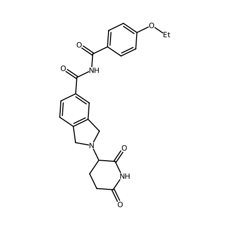 CCOc1ccc(C(=O)NC(=O)c2ccc3c(c2)CN(C2CCC(=O)NC2=O)C3)cc1